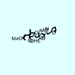 CNC(=O)C(CC(=O)NCC1CCCO1)(CN1CC(C)=C(/C=C(\C)OC)C1=O)NC=O